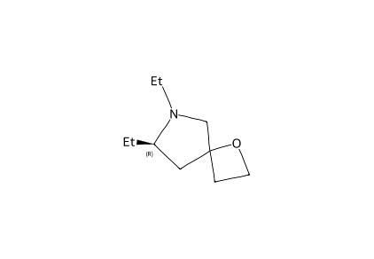 CC[C@@H]1CC2(CCO2)CN1CC